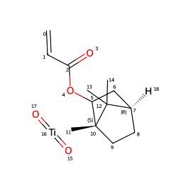 C=CC(=O)OC1C[C@H]2CC[C@@]1(C)C2(C)C.[O]=[Ti]=[O]